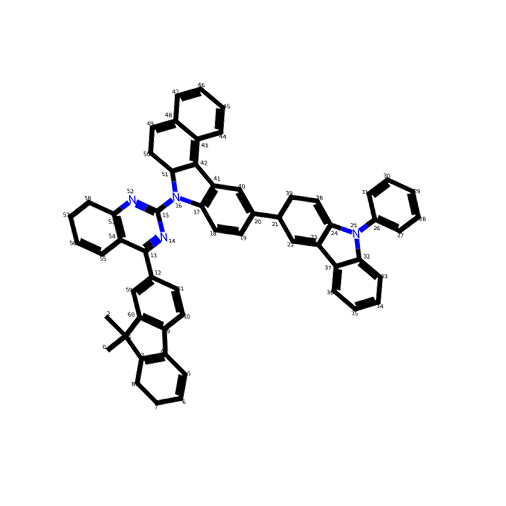 CC1(C)C2=C(C=CCC2)c2ccc(-c3nc(N4c5ccc(C6C=c7c(n(-c8ccccc8)c8ccccc78)=CC6)cc5C5=c6ccccc6=CCC54)nc4c3C=CCC4)cc21